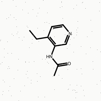 CCc1ccncc1NC(C)=O